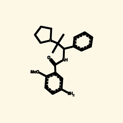 Bc1ccc(OC)c(C(=O)NC(c2ccccc2)C(C)(C)N2CCCC2)c1